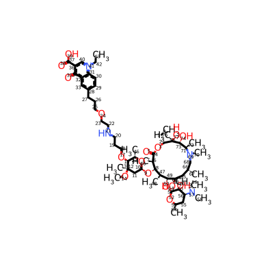 CC[C@H]1OC(=O)[C@H](C)[C@@H](O[C@H]2C[C@@](C)(OC)[C@@H](OCCCNCCOCCCc3ccc4c(c3)c(=O)c(C(=O)O)cn4CC)[C@H](C)O2)[C@H](C)[C@@H](O[C@@H]2O[C@H](C)C[C@H](N(C)C)[C@H]2O)[C@](C)(O)C[C@@H](C)CN(C)[C@H](C)[C@@H](O)[C@]1(C)O